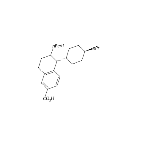 CCCCCC1CCc2cc(C(=O)O)ccc2C1[C@H]1CC[C@H](CCC)CC1